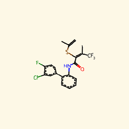 C=C(C)S/C(C(=O)Nc1ccccc1-c1ccc(F)c(Cl)c1)=C(\C)C(F)(F)F